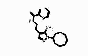 C=C(NCCc1cnn(C2CCCCCCC2)c1N)C(=C)S/C=C\C